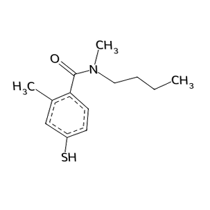 CCCCN(C)C(=O)c1ccc(S)cc1C